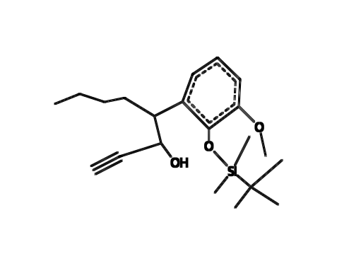 C#CC(O)C(CCCC)c1cccc(OC)c1O[Si](C)(C)C(C)(C)C